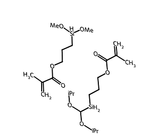 C=C(C)C(=O)OCCC[SiH2]C(OC(C)C)OC(C)C.C=C(C)C(=O)OCCC[SiH](OC)OC